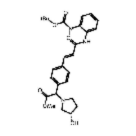 COC(=O)C(c1ccc(/C=C/C(=O)Nc2ccccc2NC(=O)OC(C)(C)C)cc1)N1CC[C@H](O)C1